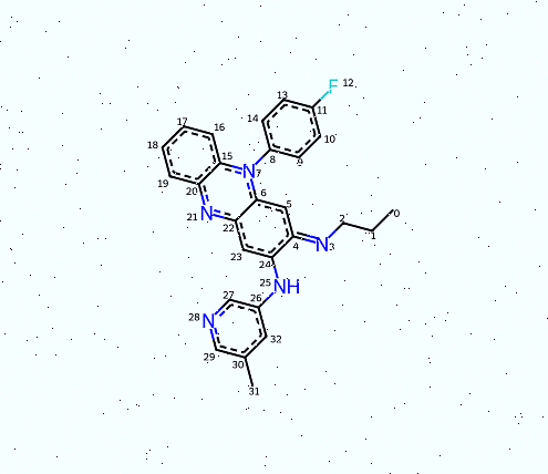 CCCN=c1cc2n(-c3ccc(F)cc3)c3ccccc3nc-2cc1Nc1cncc(C)c1